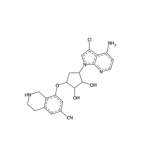 N#Cc1cc2c(c(OC3CC(n4cc(Cl)c5c(N)ccnc54)C(O)C3O)c1)CNCC2